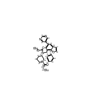 CC(C)(C)OC(=O)N(Cc1cc(-c2cncnc2)cc2ccoc12)[C@H]1CCCN(C(=O)OC(C)(C)C)[C@H]1c1ccccc1